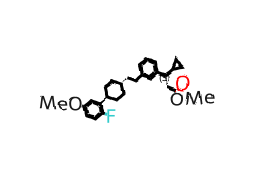 COC(=O)C[C@H](c1cccc(CC[C@H]2CC[C@H](c3cc(OC)ccc3F)CC2)c1)C1CC1